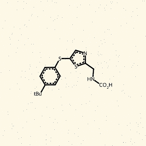 CC(C)(C)c1ccc(Sc2cnc(CNC(=O)O)s2)cc1